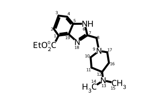 CCOC(=O)c1cccc2[nH]c(CN3CCC(N(C)C)CC3)nc12